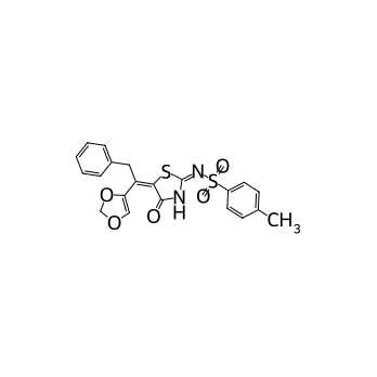 Cc1ccc(S(=O)(=O)N=C2NC(=O)C(=C(Cc3ccccc3)C3=COCO3)S2)cc1